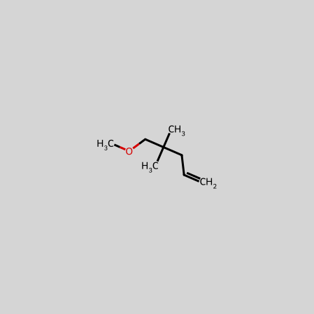 C=CCC(C)(C)COC